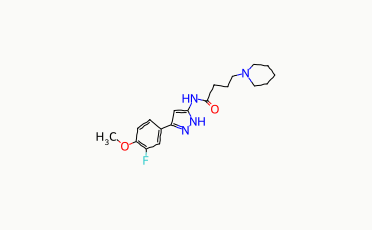 COc1ccc(-c2cc(NC(=O)CCCN3CCCCC3)[nH]n2)cc1F